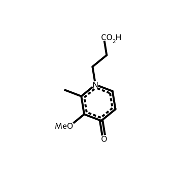 COc1c(C)n(CCC(=O)O)ccc1=O